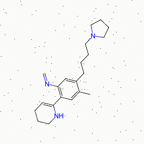 C=Nc1cc(CCCCN2CCCC2)c(C)cc1C1=CCCCN1